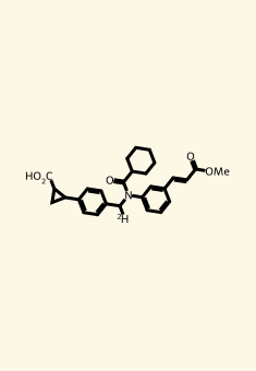 [2H]C(c1ccc(C2CC2C(=O)O)cc1)N(C(=O)C1CCCCC1)c1cccc(/C=C/C(=O)OC)c1